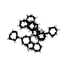 c1ccc(-c2cc(-n3c4ccccc4c4cc5ccccc5cc43)c3c(c2)oc2cccc(-c4nc(-c5ccccc5)nc(-c5ccc6ccccc6c5)n4)c23)cc1